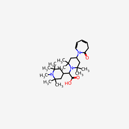 CN1C(C)(C)CC(C(C(=O)O)N2C(C)(C)CC(N3C=CC=CCC3=O)CC2(C)C)CC1(C)C